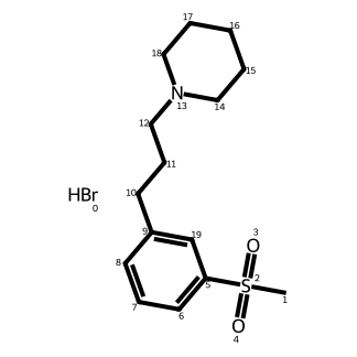 Br.CS(=O)(=O)c1cccc(CCCN2CCCCC2)c1